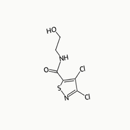 O=C(NCCO)c1snc(Cl)c1Cl